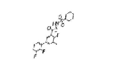 Cc1cc(-c2cccc(F)c2F)cc(C(=O)NNS(=O)(=O)C2CCCCC2)c1F